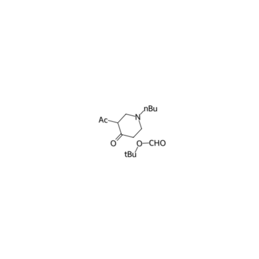 CC(C)(C)OC=O.CCCCN1CCC(=O)C(C(C)=O)C1